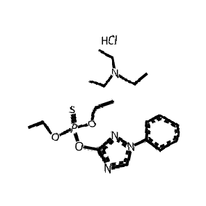 CCN(CC)CC.CCOP(=S)(OCC)Oc1ncn(-c2ccccc2)n1.Cl